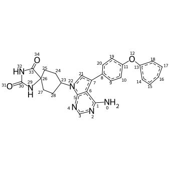 Nc1ncnc2c1c(-c1ccc(Oc3ccccc3)cc1)cn2C1CCC2(CC1)NC(=O)NC2=O